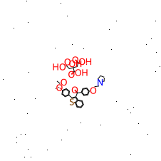 CC(=O)Oc1ccc(-c2sc3ccccc3c2C(=O)c2ccc(OCCN3CCCC3)cc2)cc1.O=C(O)CC(O)(CC(=O)O)C(=O)O